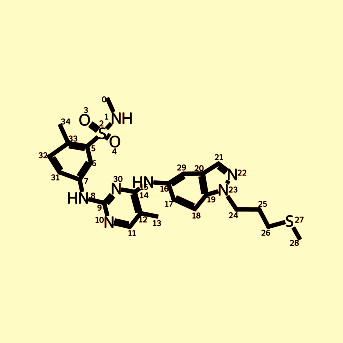 CNS(=O)(=O)c1cc(Nc2ncc(C)c(Nc3ccc4c(cnn4CCCSC)c3)n2)ccc1C